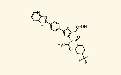 CC(C)N(c1cc(-c2ccc(-c3nc4ncccc4o3)cc2)sc1COO)C(=O)[C@H]1CC[C@H](C(F)(F)F)CC1